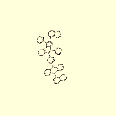 C1=c2c(-c3ccc(-c4c5ccccc5c(-c5cccc6ccccc56)c5ccccc45)cc3)c(-c3ccccc3)c3sc(-c4cccc5ccccc45)c(-c4ccccc4)c3c2=CCC1